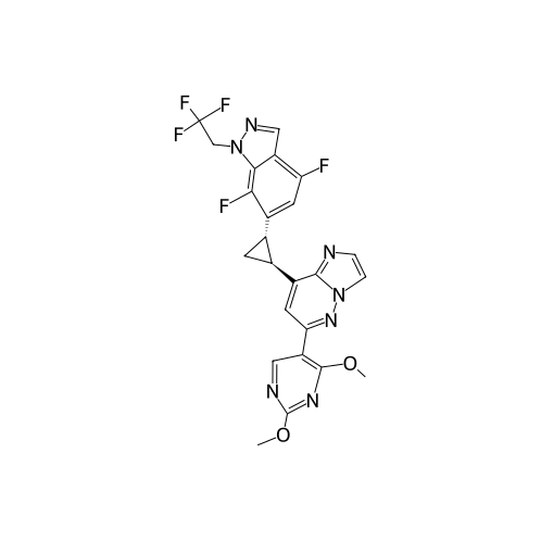 COc1ncc(-c2cc([C@H]3C[C@@H]3c3cc(F)c4cnn(CC(F)(F)F)c4c3F)c3nccn3n2)c(OC)n1